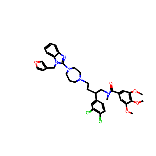 COc1cc(C(=O)N(C)CC(CCN2CCCN(c3nc4ccccc4n3Cc3ccoc3)CC2)c2ccc(Cl)c(Cl)c2)cc(OC)c1OC